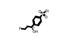 CCS(=O)(=O)c1ccc([C@@H](O)CCF)cc1